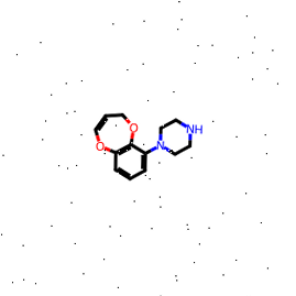 C1=COc2cccc(N3CCNCC3)c2OC1